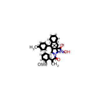 C=C(C(=O)N1CC2C3(c4ccc(C)cc4)CCC(c4ccccc43)C2(C(=O)NO)C1)c1ccccc1OC